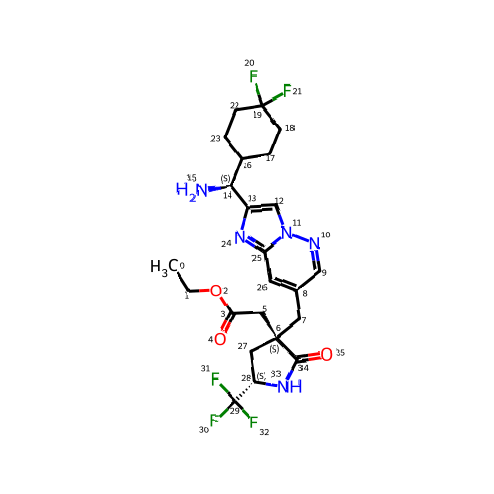 CCOC(=O)C[C@]1(Cc2cnn3cc([C@@H](N)C4CCC(F)(F)CC4)nc3c2)C[C@@H](C(F)(F)F)NC1=O